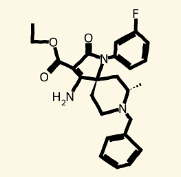 CCOC(=O)C1=C(N)[C@]2(CCN(Cc3ccccc3)[C@@H](C)C2)N(c2cccc(F)c2)C1=O